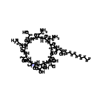 C/C=C1\NC(=O)C(C(C)O)NC(=O)C(CCCN)NC(=O)C(CCO)NC(=O)C(CCN)NC(=O)C(CCN)NC(=O)C(NC(=O)CC(O)CCCCCCCCCCC)COC(=O)C(C(O)CCl)NC(=O)C(C(O)C(=O)O)NC1=O